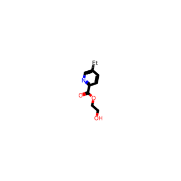 CCc1ccc(C(=O)OCCO)nc1